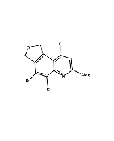 CSc1cc(Cl)c2c3c(c(Br)c(Cl)c2n1)COC3